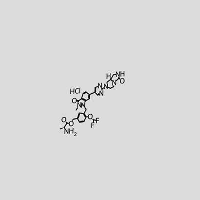 C[C@H](N)C(=O)OCc1ccc(OC(F)F)c(Cn2c3cc(-c4cnc(N5CCN6C(=O)NC[C@@H]6C5)nc4)ccc3c(=O)n2C)c1.Cl